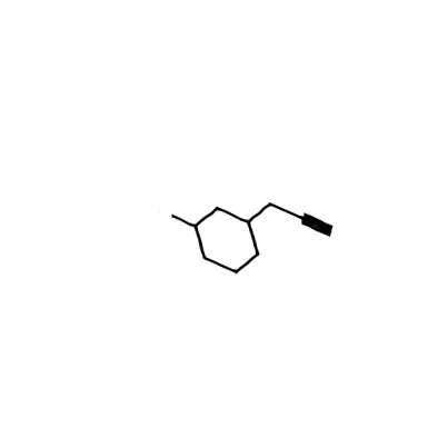 [C]#CCC1CCCC(O)C1